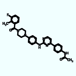 CC(=O)Nc1ccc(-c2ccnc(Nc3ccc(N4CCN(C(=O)c5cccc(F)c5C)CC4)cc3)n2)cc1